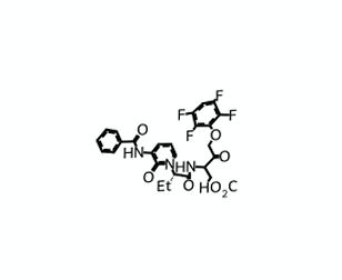 CC[C@@H](C(=O)NC(CC(=O)O)C(=O)COc1c(F)c(F)cc(F)c1F)n1cccc(NC(=O)c2ccccc2)c1=O